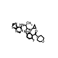 C[C@H](Nc1ncnc2scnc12)C1Nc2ccc(F)c(C(=O)N3CCOCC3)c2N1C1CC1